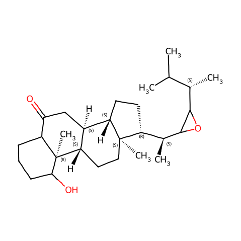 CC(C)[C@H](C)C1OC1[C@@H](C)[C@H]1CC[C@H]2[C@@H]3CC(=O)C4CCCC(O)[C@]4(C)[C@H]3CC[C@]12C